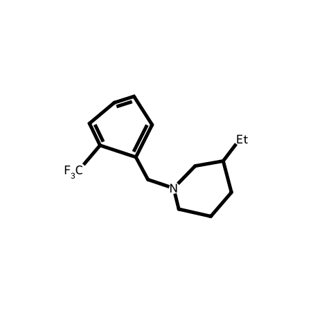 CCC1CCCN(Cc2ccccc2C(F)(F)F)C1